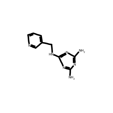 Nc1nc(N)nc(NCc2cccnc2)n1